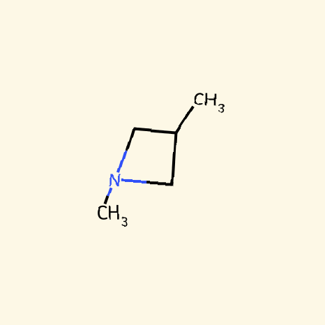 CC1CN(C)C1